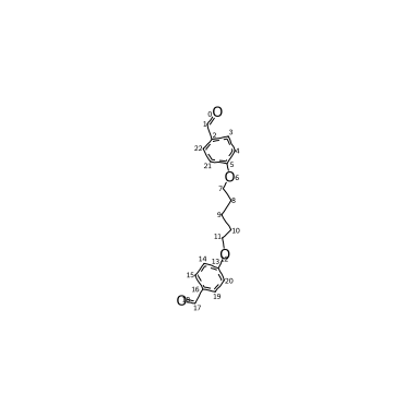 O=Cc1ccc(OCCCCCOc2ccc(C=O)cc2)cc1